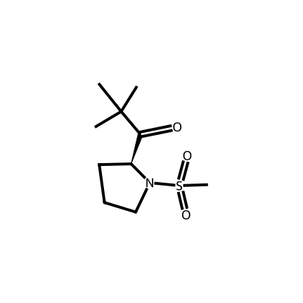 CC(C)(C)C(=O)[C@@H]1CCCN1S(C)(=O)=O